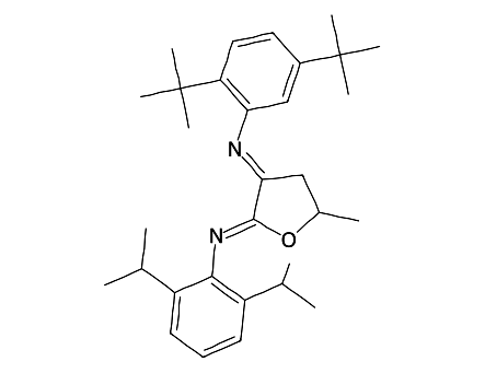 CC1CC(=Nc2cc(C(C)(C)C)ccc2C(C)(C)C)C(=Nc2c(C(C)C)cccc2C(C)C)O1